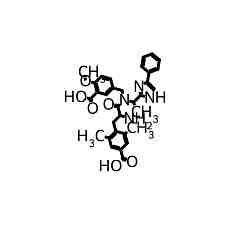 COc1ccc(CN(C(=O)C(N)Cc2c(C)cc(C(=O)O)cc2C)C(C)c2nc(-c3ccccc3)c[nH]2)cc1C(=O)O